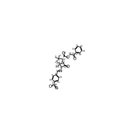 CC1(C)S[C@@H]2[C@H](N=Cc3ccc([N+](=O)[O-])cc3)C(=O)N2[C@H]1C(=O)OCC(=O)c1ccccc1